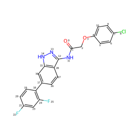 O=C(COc1ccc(Cl)cc1)Nc1n[nH]c2cc(-c3ccc(F)cc3F)ccc12